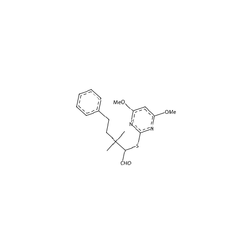 COc1cc(OC)nc(SC(C=O)C(C)(C)CCc2ccccc2)n1